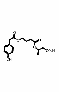 CC(CC(=O)O)OC(=O)CCCOC(=O)Cc1ccc(O)cc1